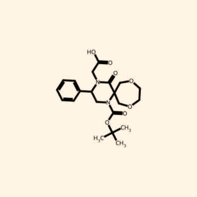 CC(C)(C)OC(=O)N1CC(c2ccccc2)N(CC(=O)O)C(=O)C12COCCOC2